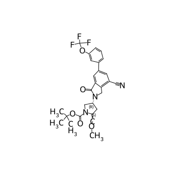 COC[C@@H]1C[C@@H](N2Cc3c(C#N)cc(-c4cccc(OC(F)(F)F)c4)cc3C2=O)CN1C(=O)OC(C)(C)C